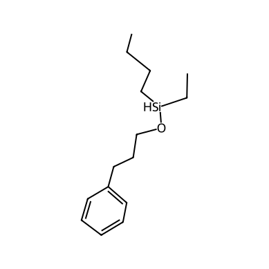 CCCC[SiH](CC)OCCCc1ccccc1